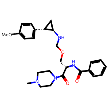 COc1ccc([C@@H]2C[C@H]2NCOC[C@H](NC(=O)c2ccccc2)C(=O)N2CCN(C)CC2)cc1